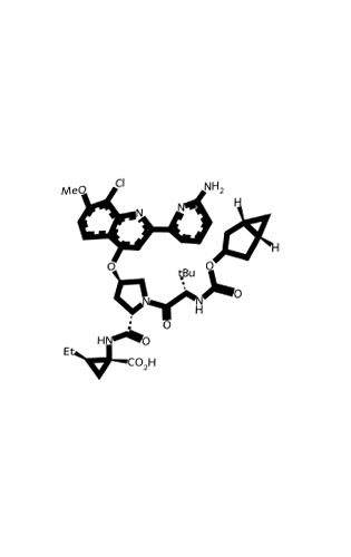 CC[C@@H]1C[C@]1(NC(=O)[C@@H]1C[C@@H](Oc2cc(-c3cccc(N)n3)nc3c(Cl)c(OC)ccc23)CN1C(=O)[C@@H](NC(=O)OC1C[C@@H]2C[C@@H]2C1)C(C)(C)C)C(=O)O